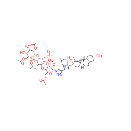 CC(=O)OCC1O[C@@H](O[C@@H]2C(COC(C)=O)O[C@@H](O[C@@H]3C(COC(C)=O)O[C@@H](n4cc(CN5C[C@@H](C)C[C@H]6O[C@]7(CC[C@@H]8C(=C7C)C[C@H]7[C@H]8CC=C8C[C@@H](O)CC[C@@]87C)[C@H](C)[C@@H]65)nn4)[C@@H](OC(C)=O)C3O)[C@@H](OC(C)=O)C2O)[C@@H](OC(C)=O)C(O)[C@@H]1O